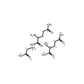 NC(CCC(=O)O)C(=O)O.NC(CCC(=O)O)C(=O)O.NCC(=O)O